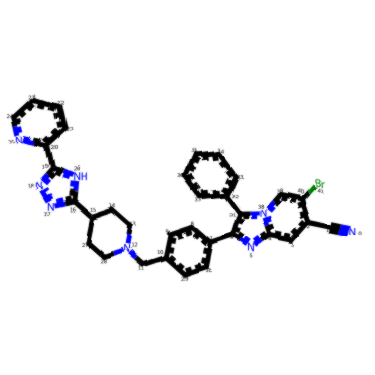 N#Cc1cc2nc(-c3ccc(CN4CCC(c5nnc(-c6ccccn6)[nH]5)CC4)cc3)c(-c3ccccc3)n2cc1Br